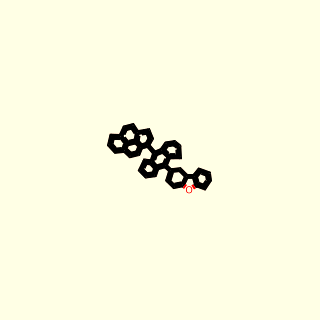 C1=C(c2c3ccccc3c(-c3ccc4ccc5cccc6ccc3c4c56)c3ccccc23)CC2C(=C1)Oc1ccccc12